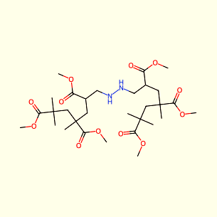 COC(=O)C(CNNCC(CC(C)(CC(C)(C)C(=O)OC)C(=O)OC)C(=O)OC)CC(C)(CC(C)(C)C(=O)OC)C(=O)OC